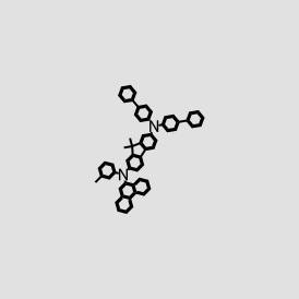 Cc1cccc(N(c2ccc3c(c2)C(C)(C)c2cc(N(c4ccc(-c5ccccc5)cc4)c4ccc(-c5ccccc5)cc4)ccc2-3)c2cc3ccccc3c3ccccc23)c1